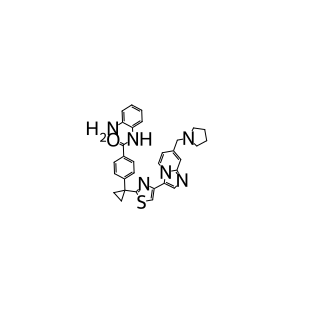 Nc1ccccc1NC(=O)c1ccc(C2(c3nc(-c4cnc5cc(CN6CCCC6)ccn45)cs3)CC2)cc1